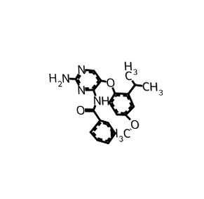 COc1ccc(Oc2cnc(N)nc2NC(=O)c2ccccc2)c(C(C)C)c1